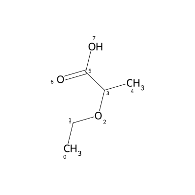 C[CH]OC(C)C(=O)O